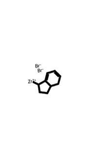 [Br-].[Br-].[Zr+2][CH]1CCC2CC=CC=C12